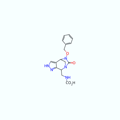 O=C(O)NCC1c2n[nH]cc2C2CN1C(=O)N2OCc1ccccc1